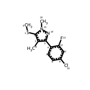 CSc1c(C)c(-c2ccc(Cl)cc2F)nn1C